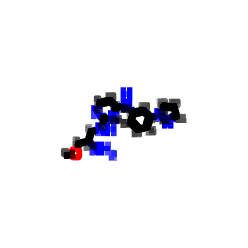 COCC(N)CNc1nccc(Nc2cccc(-n3cccn3)c2)n1